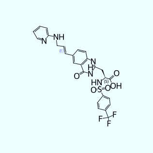 O=C(O)[C@H](Cc1nc2ccc(/C=C/CNc3ccccn3)cc2c(=O)[nH]1)NS(=O)(=O)c1ccc(C(F)(F)F)cc1